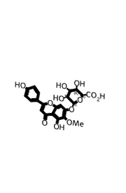 COc1c(O[C@@H]2O[C@H](C(=O)O)[C@H](O)[C@H](O)[C@H]2O)cc2oc(-c3ccc(O)cc3)cc(=O)c2c1O